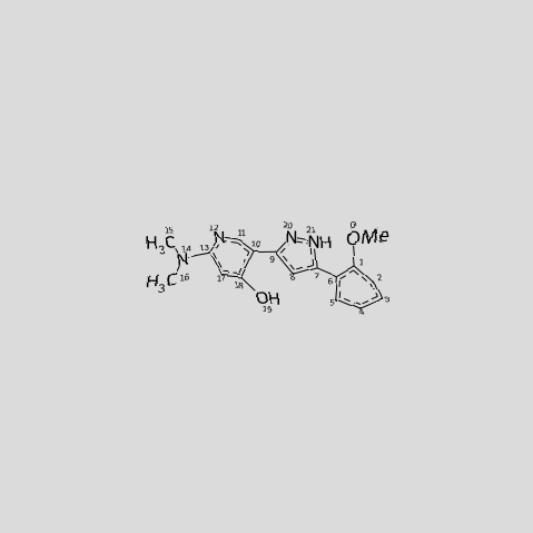 COc1ccccc1-c1cc(-c2cnc(N(C)C)cc2O)n[nH]1